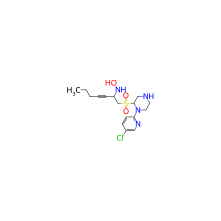 CCCC#CC(CS(=O)(=O)C1CNCCN1c1ccc(Cl)cn1)NO